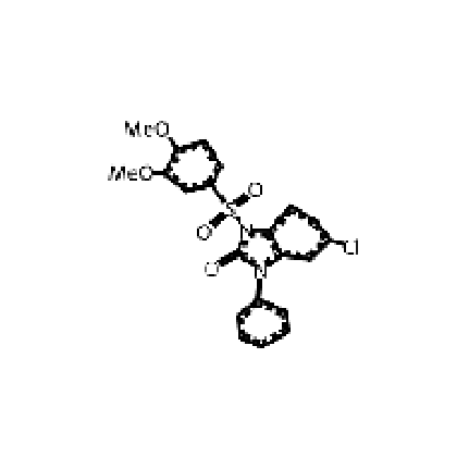 COc1ccc(S(=O)(=O)n2c(=O)n(-c3ccccc3)c3cc(Cl)ccc32)cc1OC